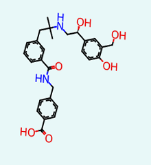 CC(C)(Cc1cccc(C(=O)NCc2ccc(C(=O)O)cc2)c1)NC[C@@H](O)c1ccc(O)c(CO)c1